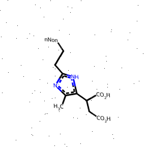 CCCCCCCCCCCc1nc(C)c(C(CC(=O)O)C(=O)O)[nH]1